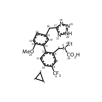 C1CC1.CCN(Cc1cc(C(F)(F)F)ccc1-c1cc(Cc2nn[nH]n2)ccc1OC)C(=O)O